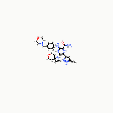 Cc1cc(-c2nc(C(N)=O)c(Nc3ccc(CN4CCOCC4)cc3)nc2N2CCC23CCOCC3)n[nH]1